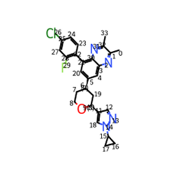 Cc1nc2cc([C@@H]3CCO[C@H](c4cnn(C5CC5)c4)C3)cc(-c3ccc(Cl)cc3F)c2nc1C